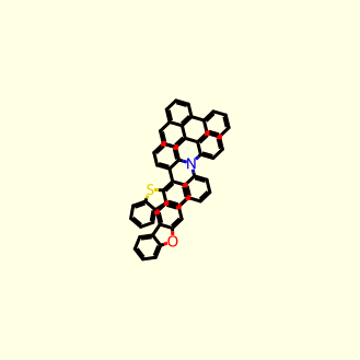 c1ccc(-c2cccc3cccc(-c4ccccc4N(c4cccc(-c5ccc6c(c5)oc5ccccc56)c4)c4ccccc4-c4cccc5c4sc4ccccc45)c23)cc1